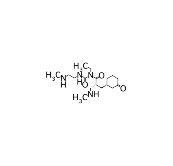 CCN(C(=O)NCCNC)C(=O)[C@@H](CNC)C[C@H]1CCCC(=O)C1